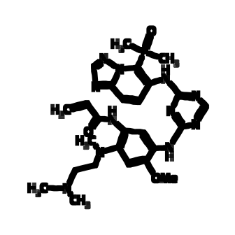 C=CC(=O)Nc1cc(Nc2ncnc(Nc3ccc4ncnn4c3P(C)(C)=O)n2)c(OC)cc1N(C)CCN(C)C